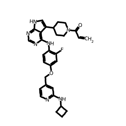 C=CC(=O)N1CCC(c2c[nH]c3ncnc(Nc4ccc(OCc5ccnc(NC6CCC6)c5)cc4F)c23)CC1